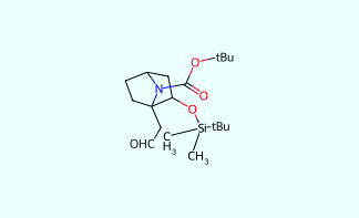 CC(C)(C)OC(=O)N1C2CCC1(CC=O)C(O[Si](C)(C)C(C)(C)C)C2